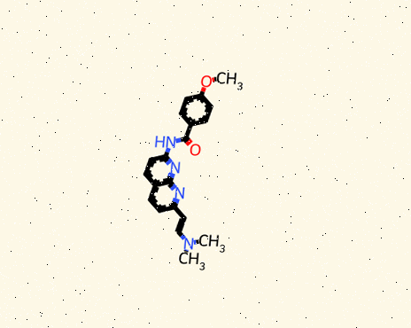 COc1ccc(C(=O)Nc2ccc3ccc(/C=C/N(C)C)nc3n2)cc1